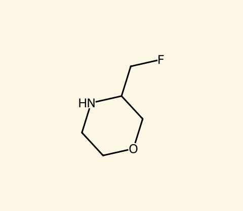 FCC1COCCN1